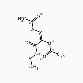 CCOC(=O)/C(=C\SC(C)=O)OC(C)=O